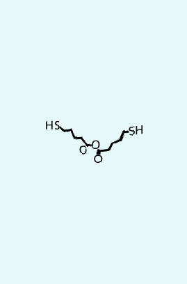 O=C(CCCCS)OC(=O)CCCCS